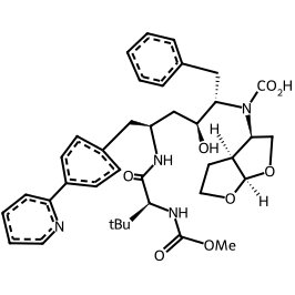 COC(=O)N[C@H](C(=O)N[C@@H](Cc1ccc(-c2ccccn2)cc1)C[C@H](O)[C@H](Cc1ccccc1)N(C(=O)O)[C@H]1CO[C@H]2OCC[C@H]21)C(C)(C)C